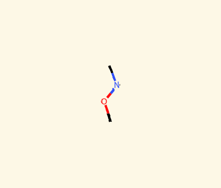 C[N]OC